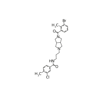 Cc1ccc(C(=O)NCCCN2CC3CN(C(=O)c4cccc(Br)c4C)CC3C2)cc1Cl